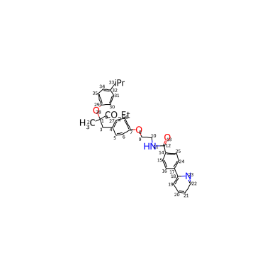 CCOC(=O)C(C)(Cc1ccc(OCCNC(=O)c2ccc(-c3ccccn3)cc2)cc1)Oc1ccc(C(C)C)cc1